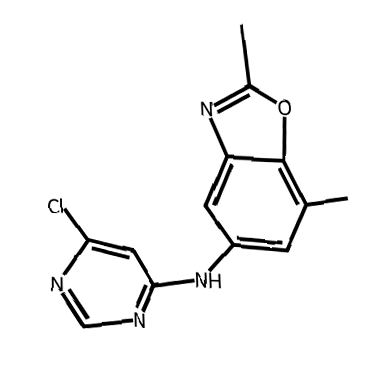 Cc1nc2cc(Nc3cc(Cl)ncn3)cc(C)c2o1